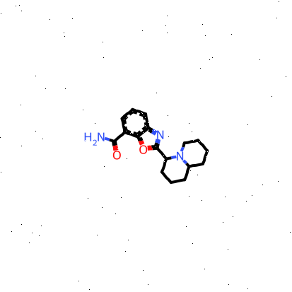 NC(=O)c1cccc2nc(C3CCCC4CCCCN43)oc12